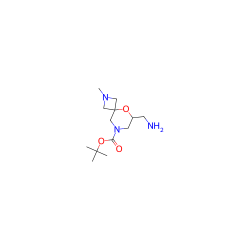 CN1CC2(C1)CN(C(=O)OC(C)(C)C)CC(CN)O2